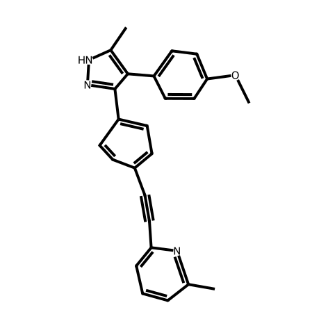 COc1ccc(-c2c(-c3ccc(C#Cc4cccc(C)n4)cc3)n[nH]c2C)cc1